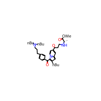 CCCCc1cc2cc(C(=O)CCN[C@@H](C)C(=O)OC)ccn2c1C(=O)c1ccc(CCCN(CCCC)CCCC)cc1